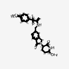 C=C(NCc1ccc2c(c1)CN(C1CCC(O)NC1=O)C2=O)C(F)(F)c1ccc(OC)cc1